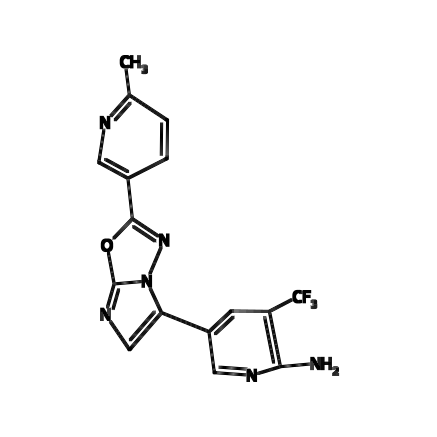 Cc1ccc(-c2nn3c(-c4cnc(N)c(C(F)(F)F)c4)cnc3o2)cn1